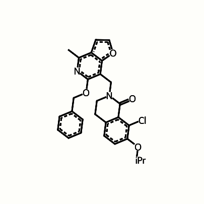 Cc1nc(OCc2ccccc2)c(CN2CCc3ccc(OC(C)C)c(Cl)c3C2=O)c2occc12